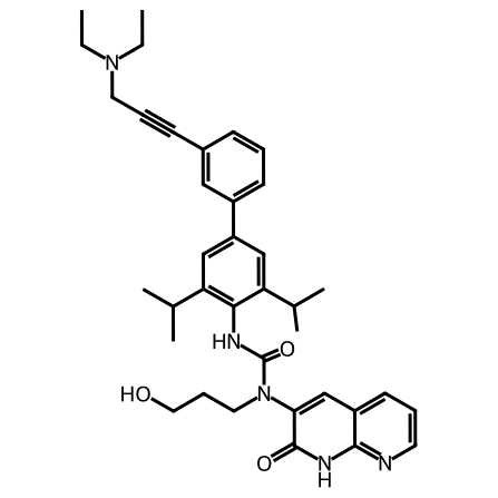 CCN(CC)CC#Cc1cccc(-c2cc(C(C)C)c(NC(=O)N(CCCO)c3cc4cccnc4[nH]c3=O)c(C(C)C)c2)c1